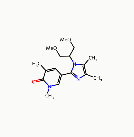 COCC(COC)n1c(-c2cc(C)c(=O)n(C)c2)nc(C)c1C